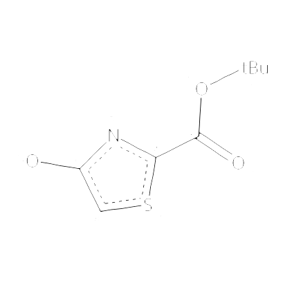 CC(C)(C)OC(=O)c1nc([O])cs1